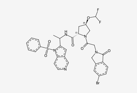 CC(NC(=O)[C@@H]1C[C@@H](OC(F)F)CN1C(=O)CN1Cc2cc(Br)ccc2C1=O)c1cc2cnccc2n1S(=O)(=O)c1ccccc1